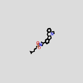 O=S(=O)(CC=CCC1CC1)N1CC(c2ccc3c(c2)C(Cc2ccccc2)C(N2CCC2)C3)C1